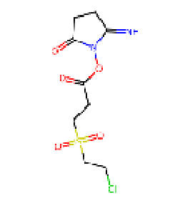 N=C1CCC(=O)N1OC(=O)CCS(=O)(=O)CCCl